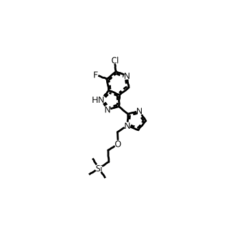 C[Si](C)(C)CCOCn1ccnc1-c1n[nH]c2c(F)c(Cl)ncc12